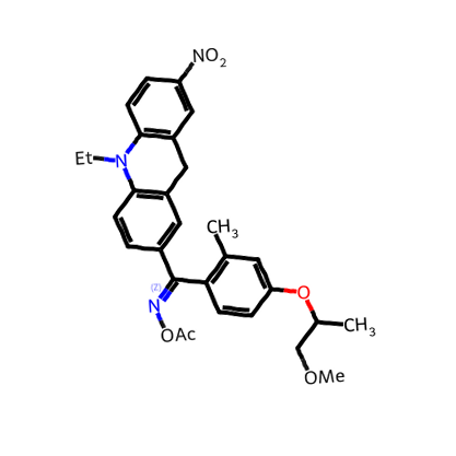 CCN1c2ccc(/C(=N/OC(C)=O)c3ccc(OC(C)COC)cc3C)cc2Cc2cc([N+](=O)[O-])ccc21